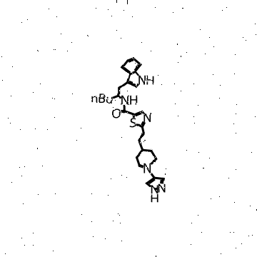 CCCCC(Cc1c[nH]c2ccccc12)NC(=O)c1cnc(CCC2CCN(c3cn[nH]c3)CC2)s1